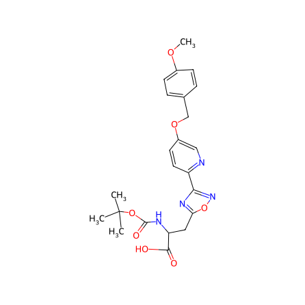 COc1ccc(COc2ccc(-c3noc(CC(NC(=O)OC(C)(C)C)C(=O)O)n3)nc2)cc1